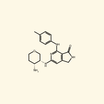 Cc1ccc(Nc2nc(N[C@H]3COCC[C@H]3N)cc3c2C(=O)NC3)cc1